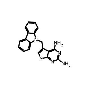 Nc1nc(N)c2c(Cn3c4ccccc4c4ccccc43)csc2n1